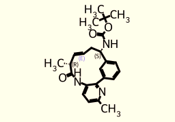 Cc1ccc2c(n1)-c1cccc(c1)[C@@H](NC(=O)OC(C)(C)C)C/C=C/[C@@H](C)C(=O)N2